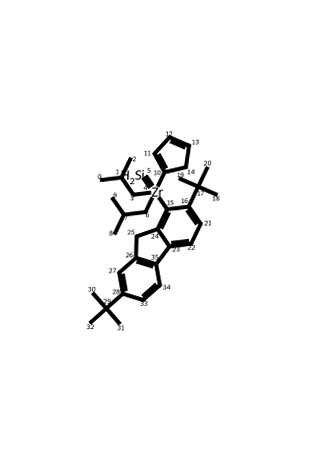 CC(C)[CH2][Zr](=[SiH2])([CH2]C(C)C)([C]1=CC=CC1)[c]1c(C(C)(C)C)ccc2c1Cc1cc(C(C)(C)C)ccc1-2